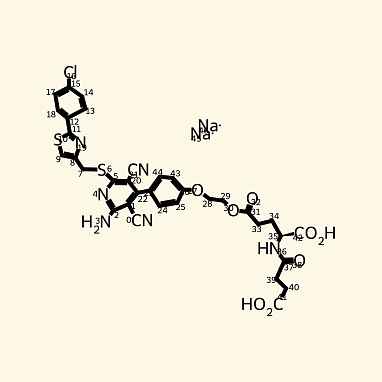 N#Cc1c(N)nc(SCc2csc(-c3ccc(Cl)cc3)n2)c(C#N)c1-c1ccc(OCCOC(=O)CC[C@H](NC(=O)CCC(=O)O)C(=O)O)cc1.[Na].[Na]